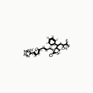 O=C1SCC(C(=CC(O)C(F)F)c2ccccc2)N1CC=Cc1ccc(-c2nnn[nH]2)o1